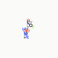 CC(C)c1cc(F)cc(C(C)CNS(=O)(=O)c2cc(CN(C)C3CC3)n(C)n2)c1N=C=O